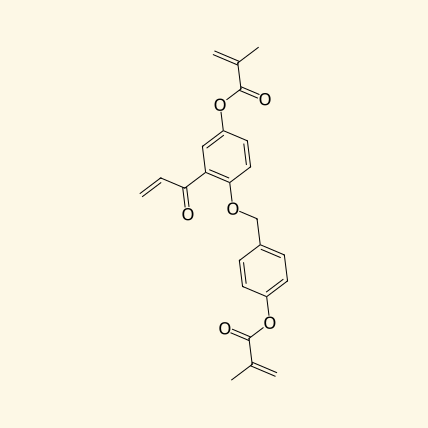 C=CC(=O)c1cc(OC(=O)C(=C)C)ccc1OCc1ccc(OC(=O)C(=C)C)cc1